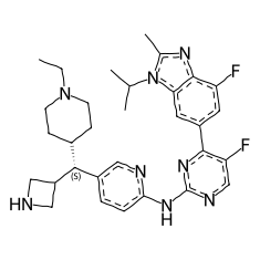 CCN1CCC([C@H](c2ccc(Nc3ncc(F)c(-c4cc(F)c5nc(C)n(C(C)C)c5c4)n3)nc2)C2CNC2)CC1